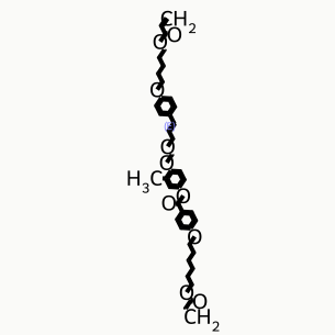 C=CC(=O)OCCCCCCOc1ccc(C(=O)Oc2ccc(OCOC/C=C/c3ccc(OCCCCCOC(=O)C=C)cc3)c(C)c2)cc1